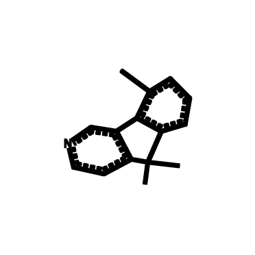 Cc1cccc2c1-c1cnccc1C2(C)C